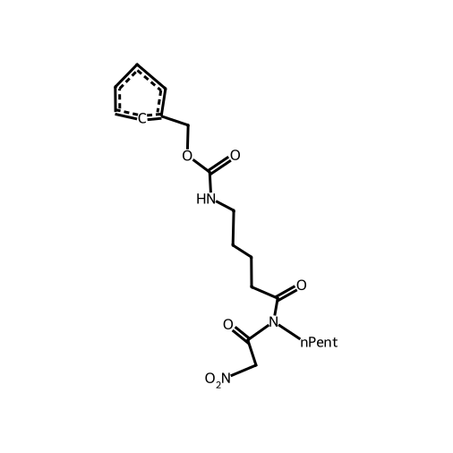 CCCCCN(C(=O)CCCCNC(=O)OCc1ccccc1)C(=O)C[N+](=O)[O-]